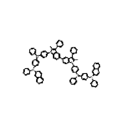 Cc1c(-c2ccccc2)c2cc(-c3ccc4c(c3)c(-c3ccccc3)c(C)n4-c3ccc(N(c4ccccc4)c4ccc(N(c5ccccc5)c5ccc6ccccc6c5)cc4)cc3)ccc2n1-c1ccc(N(c2ccccc2)c2ccc(N(c3ccccc3)c3ccc4ccccc4c3)cc2)cc1